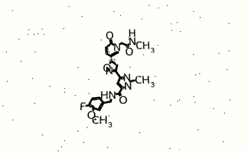 CNC(=O)Cn1cc([C@@H]2CC(c3cc(C(=O)NCc4ccc(F)c(OC)c4)nc(C)n3)=NO2)ccc1=O